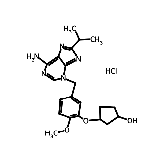 COc1ccc(Cn2cnc(N)c3nc(C(C)C)nc2-3)cc1OC1CCC(O)C1.Cl